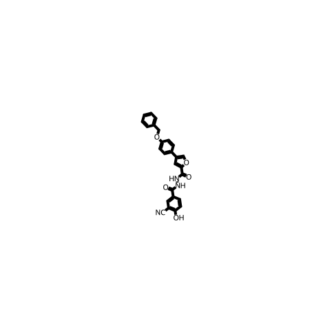 N#Cc1cc(C(=O)NNC(=O)c2cc(-c3ccc(OCc4ccccc4)cc3)co2)ccc1O